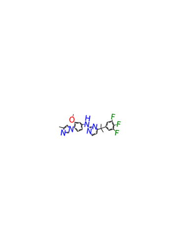 COc1cc(Nc2nccc(C(C)(C)c3cc(F)c(F)c(F)c3)n2)ccc1-n1cnc(C)c1